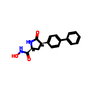 O=C1N[C@@H](C(=O)NO)C[C@H]1c1ccc(-c2ccccc2)cc1